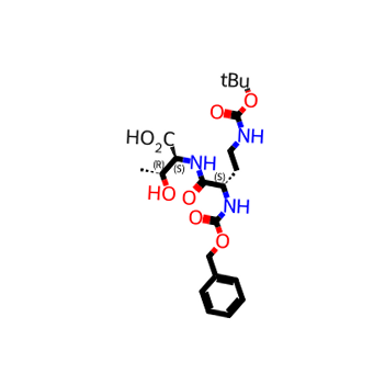 C[C@@H](O)[C@H](NC(=O)[C@H](CCNC(=O)OC(C)(C)C)NC(=O)OCc1ccccc1)C(=O)O